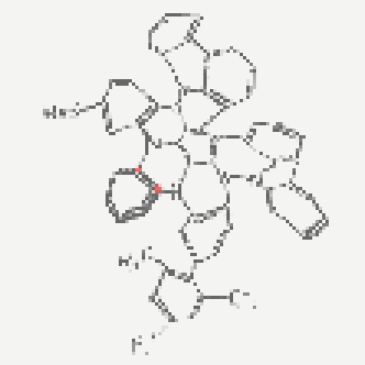 CSc1ccc2c(c1)N(c1ccccc1)c1c3c(c4c5c1N(c1ccccc1)c1cc(-c6c(C)cc(C)cc6C)ccc1B5n1c5ccccc5c5cccc-4c51)-c1cccc4c5ccccc5n(c14)B23